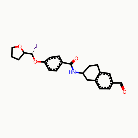 O=Cc1ccc2c(c1)CCC(NC(=O)c1ccc(O[C@@H](I)C3CCCO3)cc1)C2